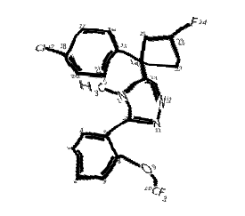 Cn1c(-c2ccccc2OC(F)(F)F)nnc1C1(c2ccc(Cl)cc2)CC(F)C1